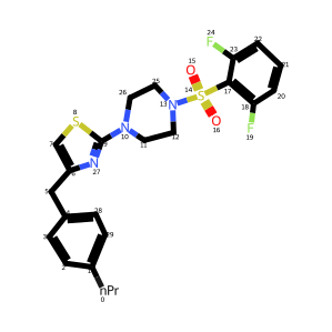 CCCc1ccc(Cc2csc(N3CCN(S(=O)(=O)c4c(F)cccc4F)CC3)n2)cc1